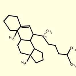 CC(C)CCC[C@@H](C)C1C=C2CCCCC2(C)C2CCC3(C)CCCC3C12